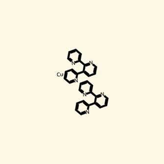 [Cu].c1ccc(-c2cccnc2-c2ccccn2)nc1.c1ccc(-c2cccnc2-c2ccccn2)nc1